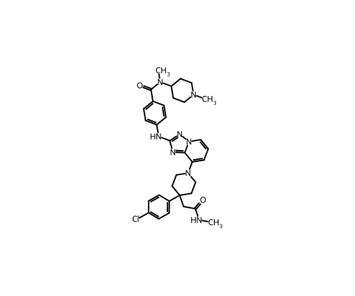 CNC(=O)CC1(c2ccc(Cl)cc2)CCN(c2cccn3nc(Nc4ccc(C(=O)N(C)C5CCN(C)CC5)cc4)nc23)CC1